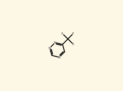 FC(F)(F)c1[c]ncnn1